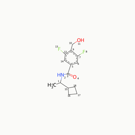 CC(NC(=O)c1cc(F)c(CO)c(F)c1)C1CCC1